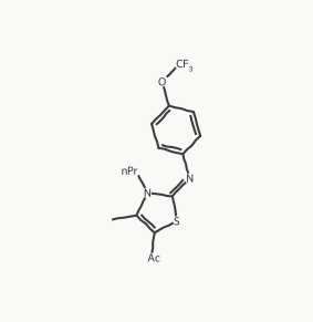 CCCn1c(C)c(C(C)=O)s/c1=N/c1ccc(OC(F)(F)F)cc1